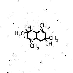 CN1CC(C)(C)CC2C1CC(C)(C)CN2C